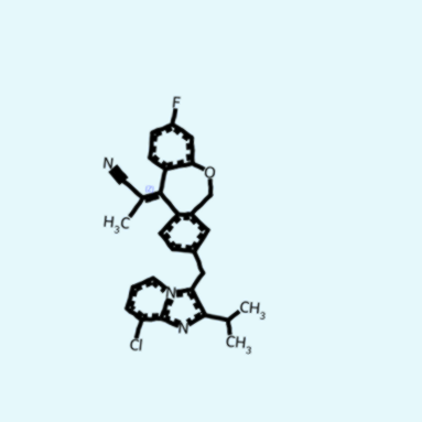 C/C(C#N)=C1\c2ccc(Cc3c(C(C)C)nc4c(Cl)cccn34)cc2COc2cc(F)ccc21